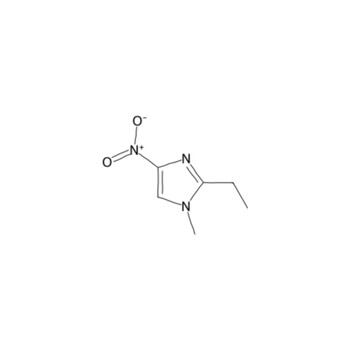 CCc1nc([N+](=O)[O-])cn1C